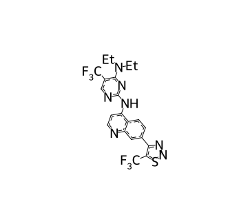 CCN(CC)c1nc(Nc2ccnc3cc(-c4nnsc4C(F)(F)F)ccc23)ncc1C(F)(F)F